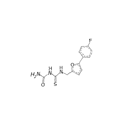 NC(=O)NC(=S)NCc1ccc(-c2ccc(F)cc2)o1